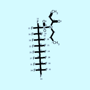 C=CC(=O)N(CCC)S(=O)(=O)C(F)(F)C(F)(F)C(F)(F)C(F)(F)C(F)(F)C(F)(F)C(F)(F)C(F)(F)F